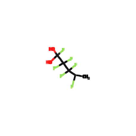 CC(F)C(F)(F)C(F)(F)C(O)(O)F